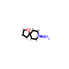 NN1CCC2(CCCO2)CC1